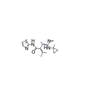 C=N/C(NC1(C)CC1)=C(\C)C(C(=O)Nc1nccs1)=C(C)C